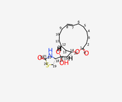 O=C1CCCCC/C=C/CCC[C@@H]2C[C@H](C[C@](O)([C@@H]3CSC(=O)N3)O2)O1